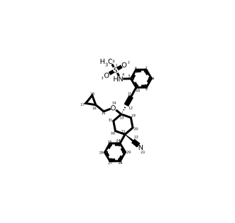 CS(=O)(=O)Nc1ccccc1C#C[C@]1(OCC2CC2)CC[C@](C#N)(c2ccccc2)CC1